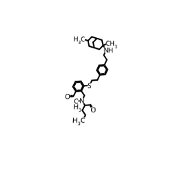 CCCC(C=O)N(C)Cc1c(C=O)cccc1SCCc1ccc(CCNC2(C)CC3CC(C)CC(C3)C2)cc1